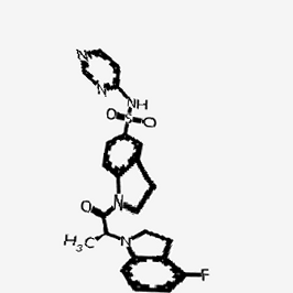 C[C@@H](C(=O)N1CCc2cc(S(=O)(=O)Nc3ccncn3)ccc21)N1CCc2c(F)cccc21